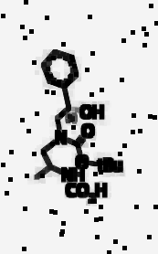 CC(CN(C[C@@H](O)c1ccccc1)C(=O)OC(C)(C)C)NC(=O)O